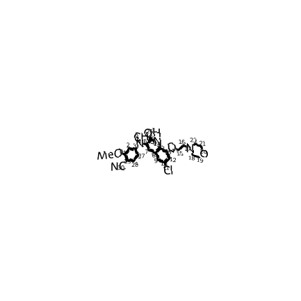 COc1cc(N(C)c2cc3cc(Cl)cc(OCCN4CCOCC4)c3[nH]c2=O)ccc1C#N